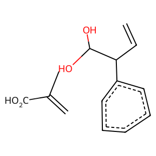 C=C(C)C(=O)O.C=CC(c1ccccc1)C(O)O